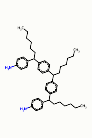 CCCCCCC(c1ccc(N)cc1)c1ccc(C(CCCCCC)c2ccc(C(CCCCCC)c3ccc(N)cc3)cc2)cc1